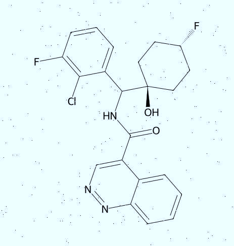 O=C(NC(c1cccc(F)c1Cl)[C@]1(O)CC[C@H](F)CC1)c1cnnc2ccccc12